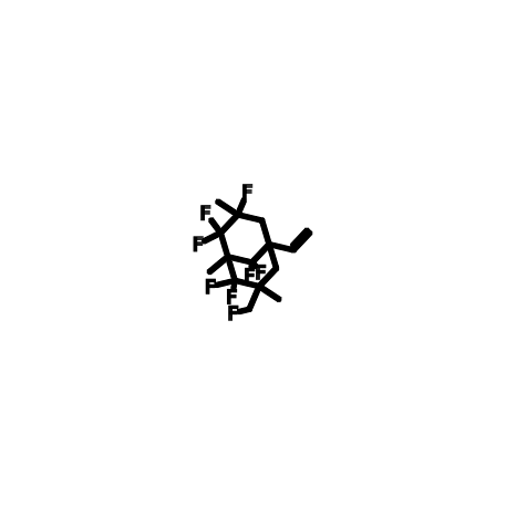 C=CC12CC(C)(F)C(F)(F)C(C)(C(F)(F)C(C)(CF)C1)C2(F)F